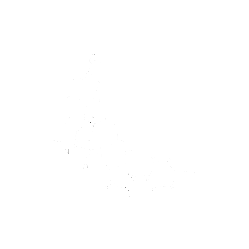 O=C(c1ccccn1)C12Cc3cnn(-c4ccc(F)cc4)c3CC1CCN(Sc1ccc(C(F)(F)F)cc1)C2